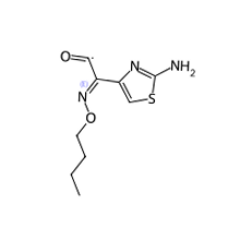 CCCCO/N=C(/[C]=O)c1csc(N)n1